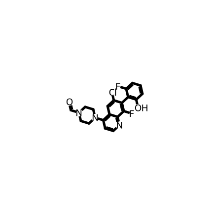 O=CN1CCN(c2ccnc3c(F)c(-c4c(O)cccc4F)c(Cl)cc23)CC1